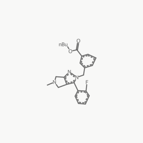 CCCCOC(=O)c1cccc(Cn2nc3c(c2-c2ccccc2F)CN(C)C3)c1